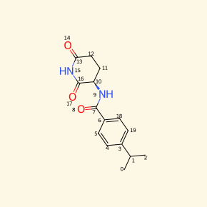 CC(C)c1ccc(C(=O)N[C@@H]2CCC(=O)NC2=O)cc1